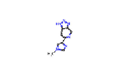 Cn1cnc(-c2cc3[nH]nnc3cn2)c1